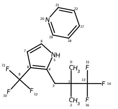 CC(C)(Cc1[nH]ccc1C(F)(F)F)C(F)(F)F.c1ccncc1